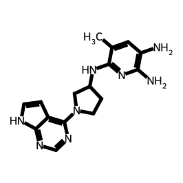 Cc1cc(N)c(N)nc1NC1CCN(c2ncnc3[nH]ccc23)C1